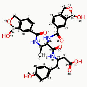 CC(NC(=O)c1ccc2c(c1)B(O)OC2)C(NC(=O)c1ccc2c(c1)B(O)OC2)C(=O)NC(CC(=O)O)Cc1ccc(O)cc1